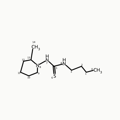 CCCCNC(=S)NN1CCCCC1C